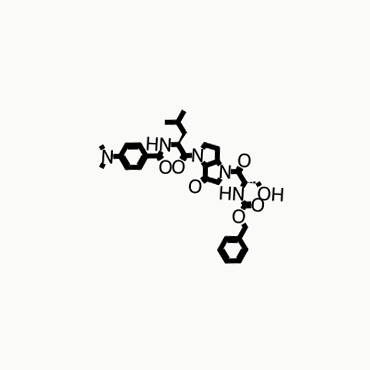 CC(C)C[C@H](NC(=O)c1ccc(N(C)C)cc1)C(=O)N1CCC2C1C(=O)CN2C(=O)[C@H](CO)NC(=O)OCc1ccccc1